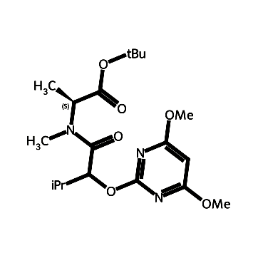 COc1cc(OC)nc(OC(C(=O)N(C)[C@@H](C)C(=O)OC(C)(C)C)C(C)C)n1